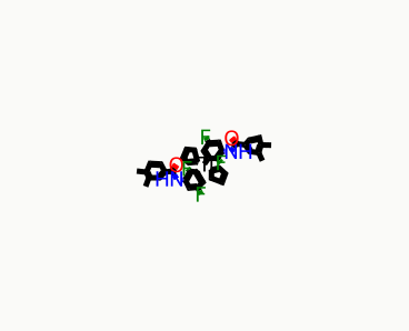 Cc1ccc(C(=O)Nc2cc(F)c[c]([Ti]([C]3=CC=CC3)([C]3=CC=CC3)[c]3cc(F)cc(NC(=O)c4ccc(C)c(C)c4)c3F)c2F)cc1C